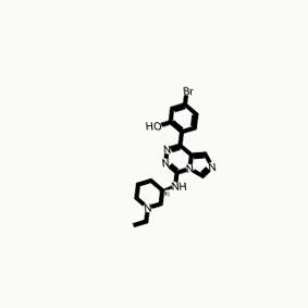 CCN1CCC[C@@H](Nc2nnc(-c3ccc(Br)cc3O)c3cncn23)C1